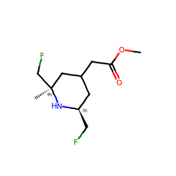 COC(=O)CC1C[C@@H](CF)N[C@@](C)(CF)C1